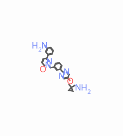 NCC1(COc2cnc(-c3cccc(Cn4nc(-c5cccc(N)c5)ccc4=O)c3)nc2)CC1